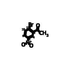 CC(=O)c1cc([N+](=O)[O-])ccc1Br